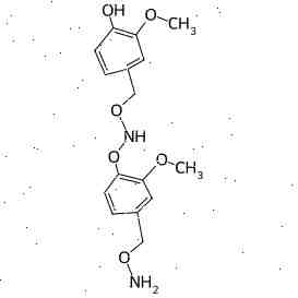 COc1cc(CONOc2ccc(CON)cc2OC)ccc1O